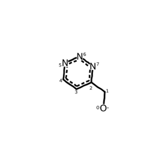 [O]Cc1ccnnn1